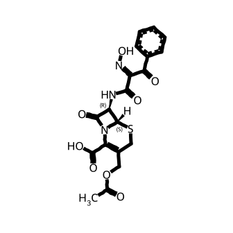 CC(=O)OCC1=C(C(=O)O)N2C(=O)[C@@H](NC(=O)C(=NO)C(=O)c3ccccc3)[C@@H]2SC1